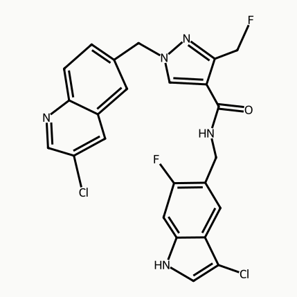 O=C(NCc1cc2c(Cl)c[nH]c2cc1F)c1cn(Cc2ccc3ncc(Cl)cc3c2)nc1CF